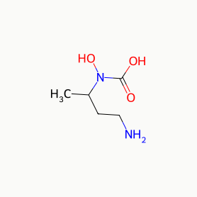 CC(CCN)N(O)C(=O)O